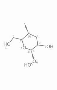 C[C@H]1CC(O)[C@@H](OO)OC1CO